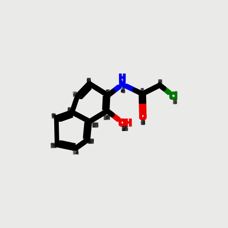 O=C(CCl)Nc1ccc2ccccc2c1O